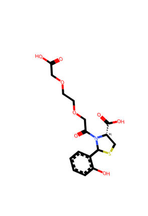 O=C(O)COCCOCC(=O)N1C(c2ccccc2O)SC[C@H]1C(=O)O